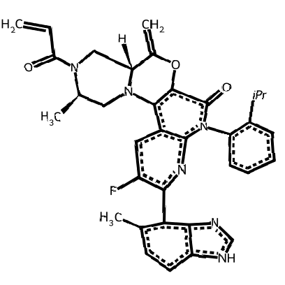 C=CC(=O)N1C[C@@H]2C(=C)Oc3c(c4cc(F)c(-c5c(C)ccc6[nH]cnc56)nc4n(-c4ccccc4C(C)C)c3=O)N2C[C@H]1C